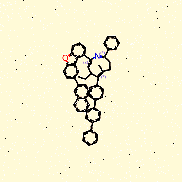 CCC1/C=C(c2cccc3oc4ccc(-c5ccc6ccccc6c5)cc4c23)\N=C(\c2ccccc2)CC/C(C)=C/1c1ccc(-c2ccc(-c3ccccc3)cc2)cc1